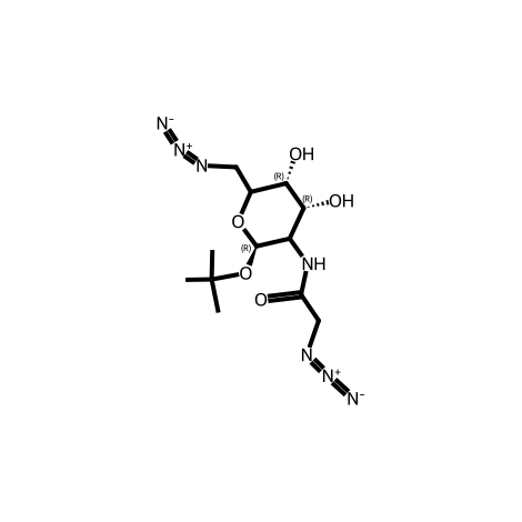 CC(C)(C)O[C@H]1OC(CN=[N+]=[N-])[C@H](O)[C@H](O)C1NC(=O)CN=[N+]=[N-]